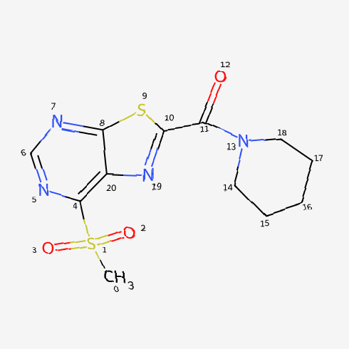 CS(=O)(=O)c1ncnc2sc(C(=O)N3CCCCC3)nc12